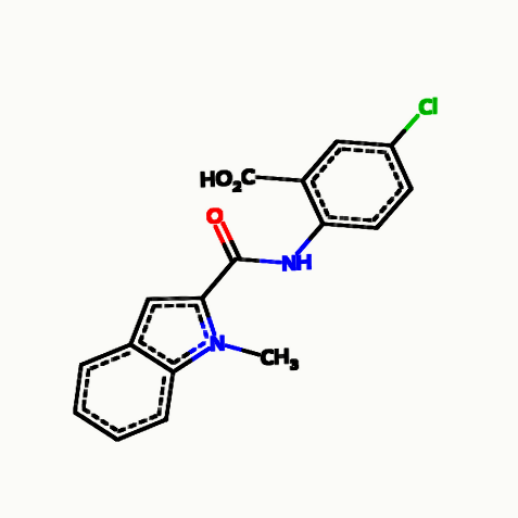 Cn1c(C(=O)Nc2ccc(Cl)cc2C(=O)O)cc2ccccc21